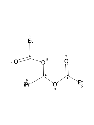 CCC(=O)OC(OC(=O)CC)C(C)C